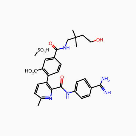 CS(=O)(=O)O.Cc1ccc(-c2ccc(C(=O)NCC(C)(C)CCO)cc2C(=O)O)c(C(=O)Nc2ccc(C(=N)N)cc2)n1